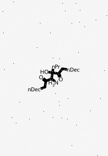 CCCCCCCCCCCC(=O)C(N)C(O)(CCC)C(=O)CCCCCCCCCCC